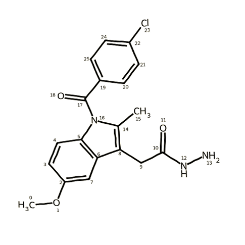 COc1ccc2c(c1)c(CC(=O)NN)c(C)n2C(=O)c1ccc(Cl)cc1